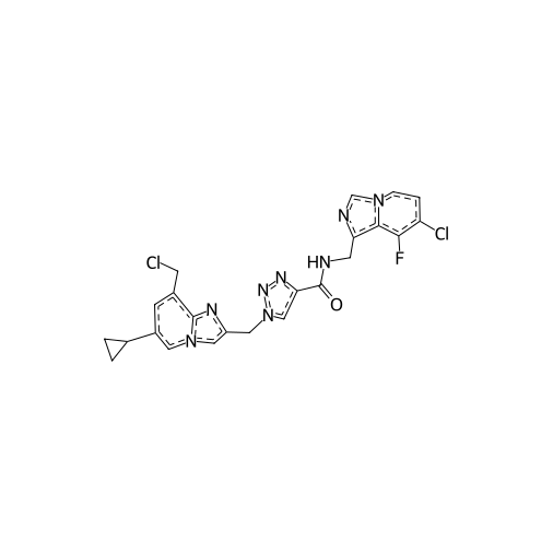 O=C(NCc1ncn2ccc(Cl)c(F)c12)c1cn(Cc2cn3cc(C4CC4)cc(CCl)c3n2)nn1